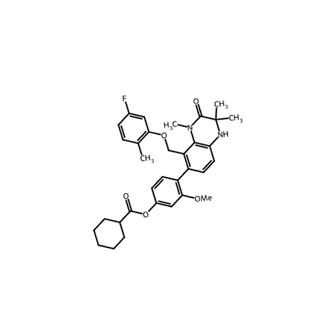 COc1cc(OC(=O)C2CCCCC2)ccc1-c1ccc2c(c1COc1cc(F)ccc1C)N(C)C(=O)C(C)(C)N2